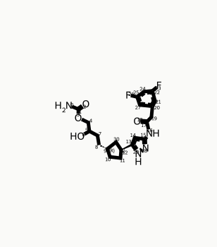 NC(=O)OCC(O)CC[C@H]1CC[C@H](c2cc(NC(=O)Cc3cc(F)cc(F)c3)n[nH]2)C1